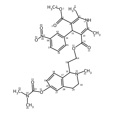 COC(=O)C1=C(C)NC(C)=C(C(=O)OCCC2c3ccc(OC(=O)N(C)C)cc3CCN2C)C1c1cccc([N+](=O)[O-])c1